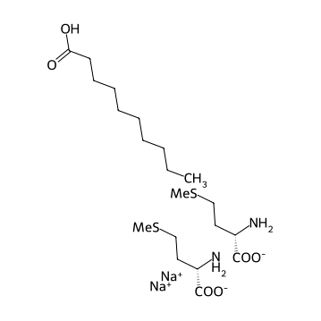 CCCCCCCCCC(=O)O.CSCC[C@H](N)C(=O)[O-].CSCC[C@H](N)C(=O)[O-].[Na+].[Na+]